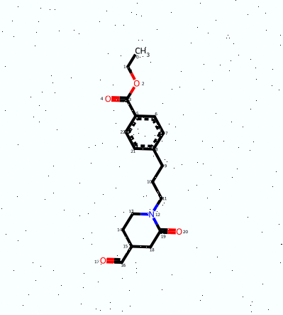 CCOC(=O)c1ccc(CCCN2CCC(C=O)CC2=O)cc1